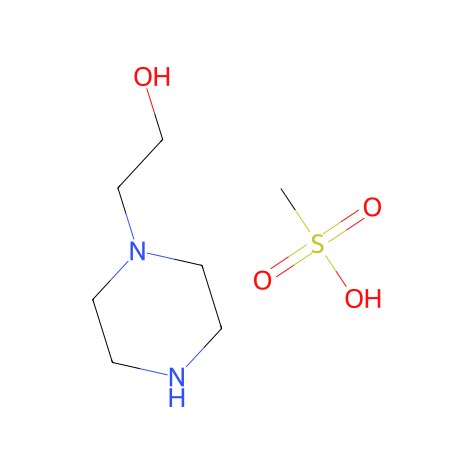 CS(=O)(=O)O.OCCN1CCNCC1